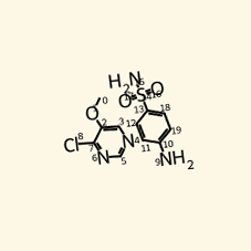 COc1cncnc1Cl.Nc1ccc(S(N)(=O)=O)cc1